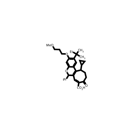 CCC(C)(C)c1cc2c(cc1OCCCOC)OC(C(C)C)C1=C2C(C2CC2)CCC(=O)/C(C(=O)O)=C\1